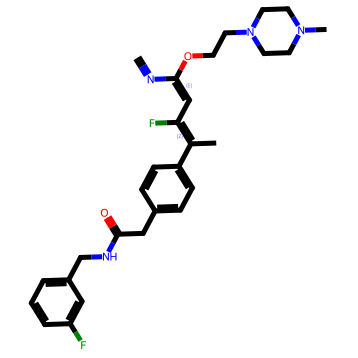 C=N/C(=C\C(F)=C(/C)c1ccc(CC(=O)NCc2cccc(F)c2)cc1)OCCN1CCN(C)CC1